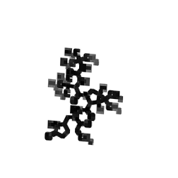 C=CC(=O)N(CC1CCC(=O)N1)NC(=O)[C@@H]1[C@@H]2[C@H](CN1C(=O)C(NC(=O)NC(C)(C)C)C(C)(C)C)C2(C)C